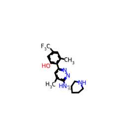 Cc1cc(-c2c(C)cc(C(F)(F)F)cc2O)nnc1N[C@H]1CCCNC1